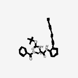 C#CC#CC#CC#Cc1ccccc1NC(=O)[C@@H](COC(=O)c1ccccc1)NC(=O)OC(C)(C)C